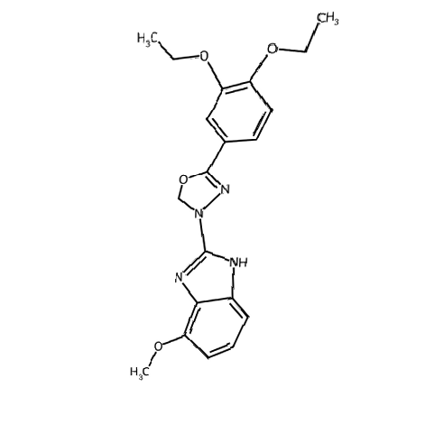 CCOc1ccc(C2=NN(c3nc4c(OC)cccc4[nH]3)CO2)cc1OCC